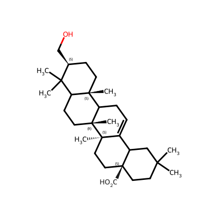 CC1(C)CC[C@]2(C(=O)O)CC[C@]3(C)C(=CCC4[C@@]5(C)CC[C@H](CO)C(C)(C)C5CC[C@]43C)C2C1